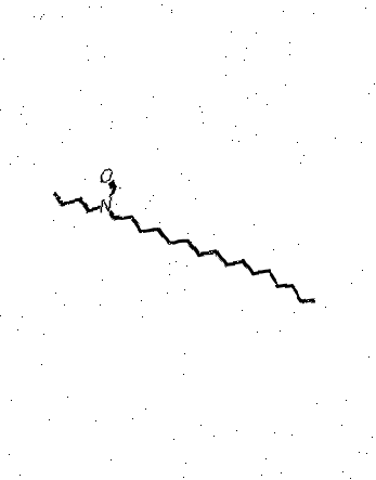 CCCCCCCCCCCCCCCCN([C]=O)CCCC